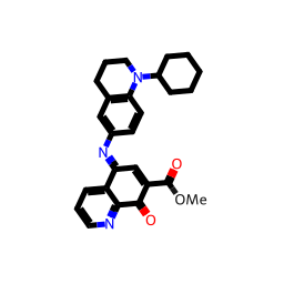 COC(=O)C1=CC(=Nc2ccc3c(c2)CCCN3C2CCCCC2)c2cccnc2C1=O